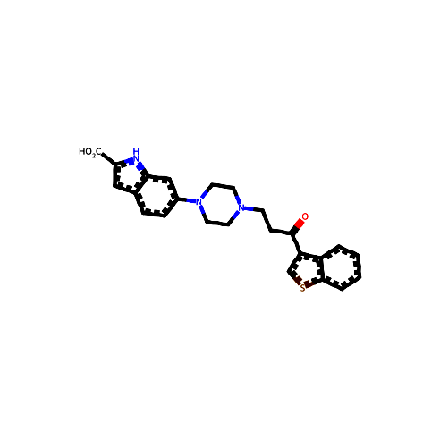 O=C(O)c1cc2ccc(N3CCN(CCC(=O)c4csc5ccccc45)CC3)cc2[nH]1